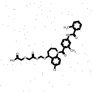 Cc1ccccc1C(=O)Nc1ccc(C(=O)N2CCCC(OCOC(=O)COCC(=O)O)c3cc(Cl)ccc32)c(C)c1